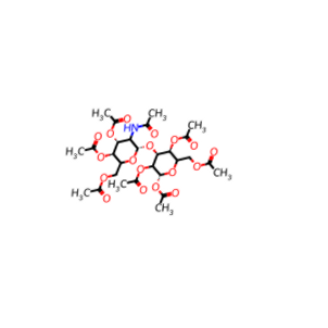 CC(=O)NC1[C@H](O[C@@H]2C(OC(C)=O)[C@@H](OC(C)=O)OC(COC(C)=O)[C@@H]2OC(C)=O)OC(COC(C)=O)[C@@H](OC(C)=O)[C@@H]1OC(C)=O